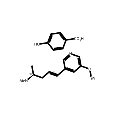 CN[C@@H](C)C/C=C/c1cncc(OC(C)C)c1.O=C(O)c1ccc(O)cc1